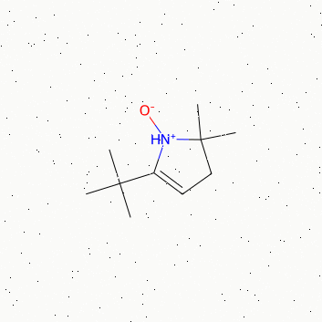 CC(C)(C)C1=CCC(C)(C)[NH+]1[O-]